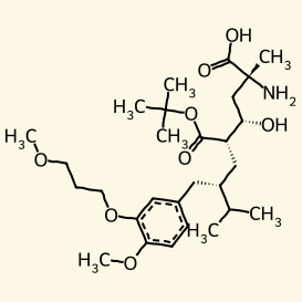 COCCCOc1cc(C[C@H](C[C@H](C(=O)OC(C)(C)C)[C@@H](O)C[C@@](C)(N)C(=O)O)C(C)C)ccc1OC